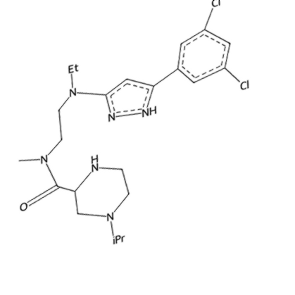 CCN(CCN(C)C(=O)C1CN(C(C)C)CCN1)c1cc(-c2cc(Cl)cc(Cl)c2)[nH]n1